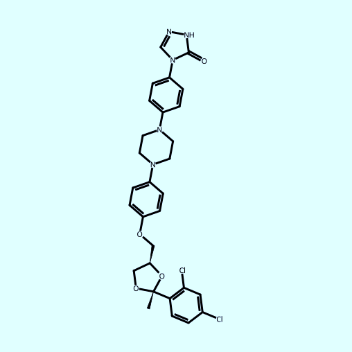 C[C@@]1(c2ccc(Cl)cc2Cl)OC[C@@H](COc2ccc(N3CCN(c4ccc(-n5cn[nH]c5=O)cc4)CC3)cc2)O1